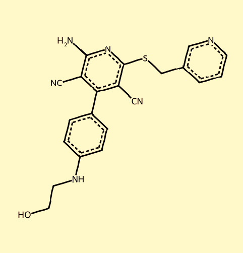 N#Cc1c(N)nc(SCc2cccnc2)c(C#N)c1-c1ccc(NCCO)cc1